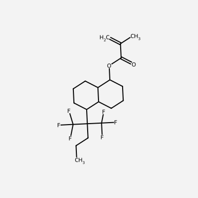 C=C(C)C(=O)OC1CCCC2C1CCCC2C(CCC)(C(F)(F)F)C(F)(F)F